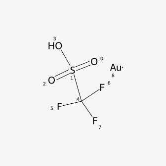 O=S(=O)(O)C(F)(F)F.[Au]